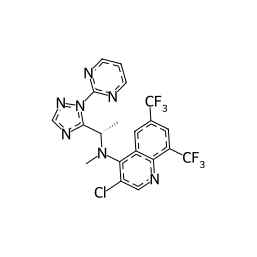 C[C@@H](c1ncnn1-c1ncccn1)N(C)c1c(Cl)cnc2c(C(F)(F)F)cc(C(F)(F)F)cc12